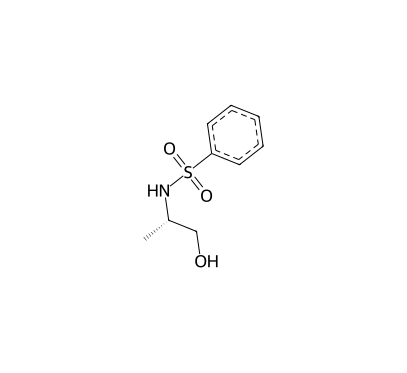 C[C@@H](CO)NS(=O)(=O)c1ccccc1